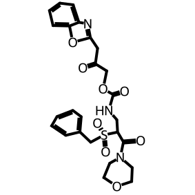 O=C(COC(=O)NCC(C(=O)N1CCOCC1)S(=O)(=O)Cc1ccccc1)Cc1nc2ccccc2o1